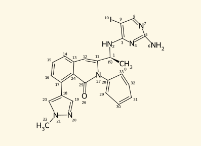 C[C@H](Nc1nc(N)ncc1I)c1cc2cccc(-c3cnn(C)c3)c2c(=O)n1-c1ccccc1